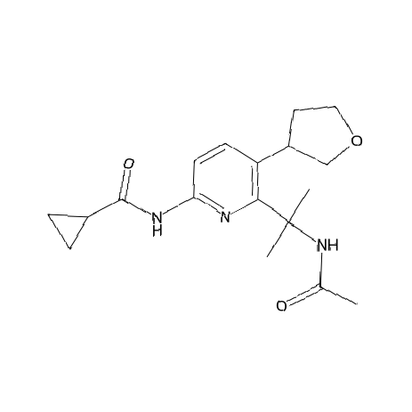 CC(=O)NC(C)(C)c1nc(NC(=O)C2CC2)ccc1C1CCOC1